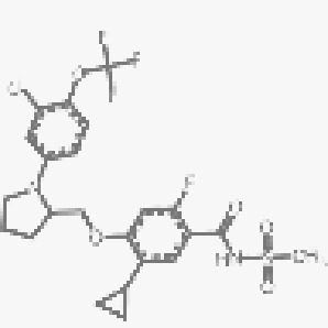 CS(=O)(=O)NC(=O)c1cc(C2CC2)c(OCC2CCCN2c2ccc(OC(F)(F)F)c(Cl)c2)cc1F